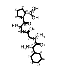 CC[C@H](NC(=O)CN(C)C(=O)[C@@H](N)C1CCCCC1)C(=O)N1CCC[C@H]1B(O)O